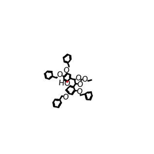 CCOC1OC(c2ccc(OCc3ccccc3)c(OCc3ccccc3)c2)C(c2c(O)cc(OCc3ccccc3)cc2OCc2ccccc2)O1